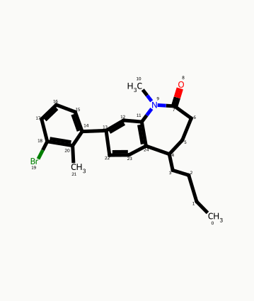 CCCCC1CCC(=O)N(C)c2cc(-c3cccc(Br)c3C)ccc21